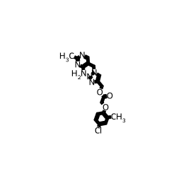 Cc1ncc(Cn2cc(COC(=O)COc3ccc(Cl)cc3C)nn2)c(N)n1